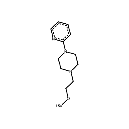 CC(C)(C)OCCN1CCN(c2ccccn2)CC1